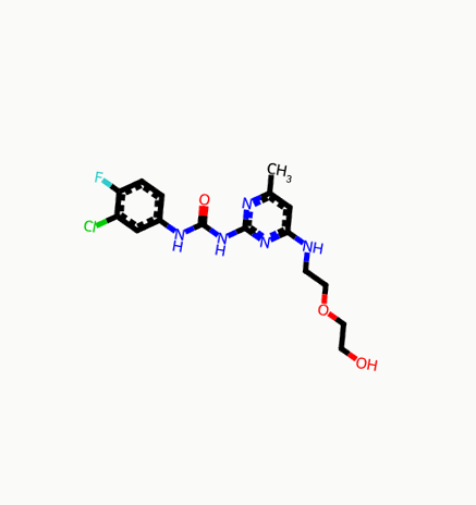 Cc1cc(NCCOCCO)nc(NC(=O)Nc2ccc(F)c(Cl)c2)n1